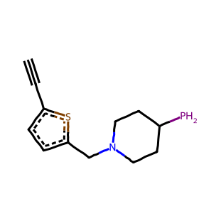 C#Cc1ccc(CN2CCC(P)CC2)s1